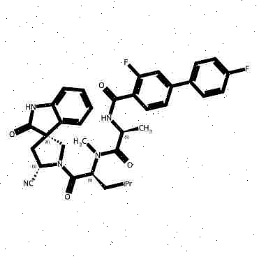 CC(C)C[C@@H](C(=O)N1C[C@]2(C[C@H]1C#N)C(=O)Nc1ccccc12)N(C)C(=O)[C@H](C)NC(=O)c1ccc(-c2ccc(F)cc2)cc1F